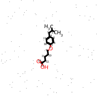 CC(C)Cc1ccc(OCCCCC(=O)O)cc1